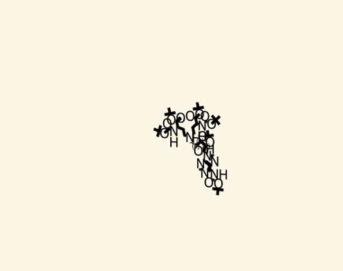 CC(C)(C)OC(=O)Nc1ncnc2c1ncn2[C@@H]1O[C@H](CN(CCC(NC(=O)OC(C)(C)C)C(=O)OC(C)(C)C)CCC(NC(=O)OC(C)(C)C)C(=O)OC(C)(C)C)[C@H]2OC(C)(C)O[C@H]21